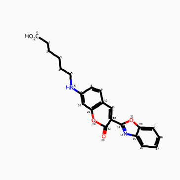 O=C(O)CCCCCNc1ccc2cc(-c3nc4ccccc4o3)c(=O)oc2c1